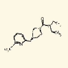 CCN(CC)C(=O)N1CCC(=Cc2cccc(C)n2)CC1